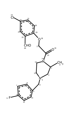 CC1CN(Cc2ccc(F)cc2)CCN1C(=O)COc1ccc(Cl)cc1C=O